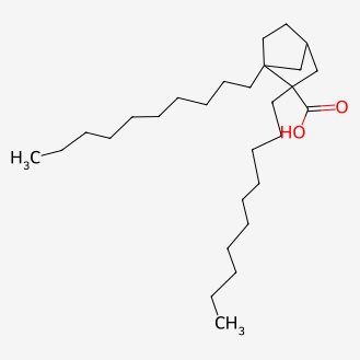 CCCCCCCCCCC12CCC(C1)CC2(CCCCCCCCCC)C(=O)O